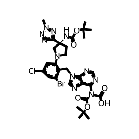 Cn1nnc([C@@]2(NC(=O)OC(C)(C)C)CCN(c3cc(Cl)cc(Br)c3Cn3cnc4c(N(C(=O)O)C(=O)OC(C)(C)C)ncnc43)C2)n1